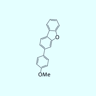 COc1ccc(-c2ccc3c(c2)oc2ccccc23)cc1